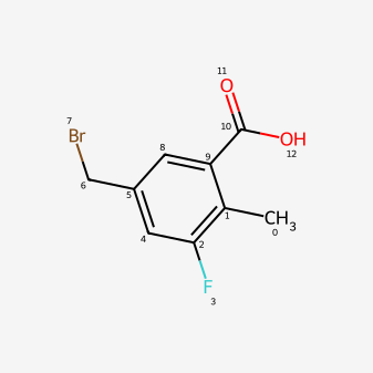 Cc1c(F)cc(CBr)cc1C(=O)O